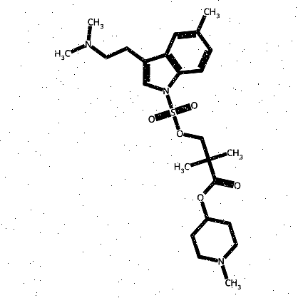 Cc1ccc2c(c1)c(CCN(C)C)cn2S(=O)(=O)OCC(C)(C)C(=O)OC1CCN(C)CC1